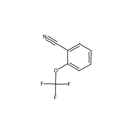 N#Cc1c[c]ccc1OC(F)(F)F